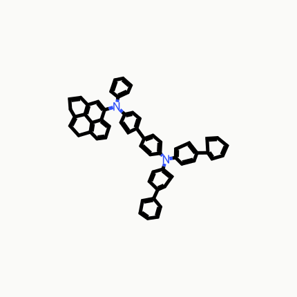 C1=Cc2cc(N(c3ccccc3)c3ccc(-c4ccc(N(c5ccc(-c6ccccc6)cc5)c5ccc(-c6ccccc6)cc5)cc4)cc3)c3cccc4c3c2C(=CC4)C1